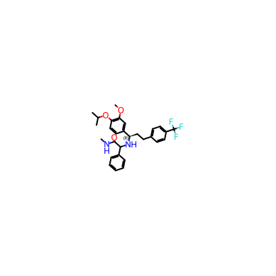 CNC(=O)C(N[C@H](CCc1ccc(C(F)(F)F)cc1)c1ccc(OC(C)C)c(OC)c1)c1ccccc1